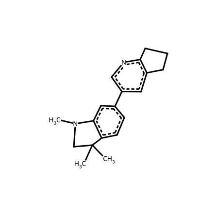 CN1CC(C)(C)c2ccc(-c3cnc4c(c3)CCC4)cc21